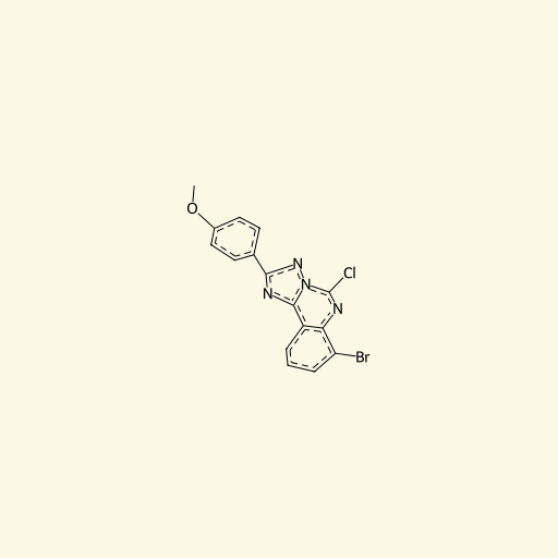 COc1ccc(-c2nc3c4cccc(Br)c4nc(Cl)n3n2)cc1